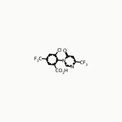 O=C(O)c1cc(C(F)(F)F)cc(Cl)c1-n1cnc(C(F)(F)F)cc1=O